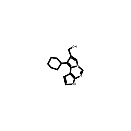 OCc1cn2cnc3[nH]ccc3c2c1C1CCCCC1